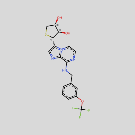 O[C@@H]1[C@H](O)CS[C@H]1c1cnc2c(NCc3cccc(OC(F)(F)F)c3)nccn12